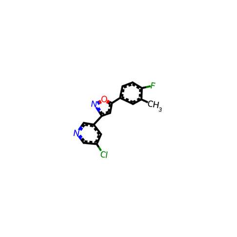 Cc1cc(-c2cc(-c3cncc(Cl)c3)no2)ccc1F